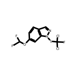 FC(F)Oc1ccc2cnn(SC(F)(Cl)Cl)c2c1